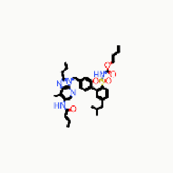 CCCCOC(=O)NS(=O)(=O)c1ccc(CC(C)C)cc1-c1ccc(Cn2c(CCC)nc3c(C)c(NC(=O)CCC)cnc32)cc1